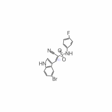 N#C/C(=C\c1c[nH]c2ccc(Br)cc12)S(=O)(=O)Nc1ccc(F)cc1